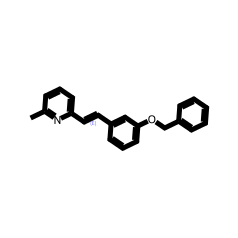 Cc1cccc(/C=C/c2cccc(OCc3ccccc3)c2)n1